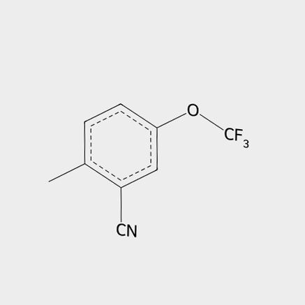 Cc1ccc(OC(F)(F)F)cc1C#N